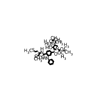 COC(=O)[C@H](CCSC)NC(=O)c1ccc(C(=O)[C@@H]2C(O)C([Si](C)(C)C(C)(C)C)CN2C(=O)OC(C)(C)C)cc1Nc1ccccc1